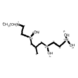 CC(CN(O)CCN(C)O)CN(O)CCN(O)O